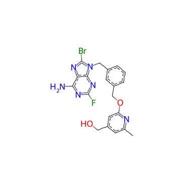 Cc1cc(CO)cc(OCc2cccc(Cn3c(Br)nc4c(N)nc(F)nc43)c2)n1